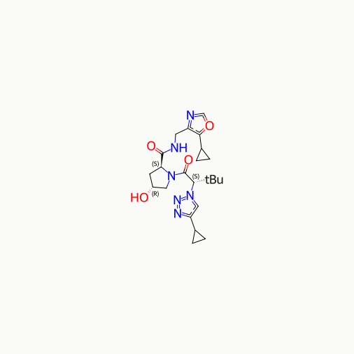 CC(C)(C)[C@@H](C(=O)N1C[C@H](O)C[C@H]1C(=O)NCc1ncoc1C1CC1)n1cc(C2CC2)nn1